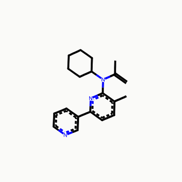 C=C(C)N(c1nc(-c2cccnc2)ccc1C)C1CCCCC1